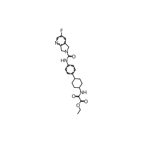 CCOC(=O)C(=O)NC1CCC(c2ccc(NC(=O)N3Cc4cc(F)cnc4C3)cc2)CC1